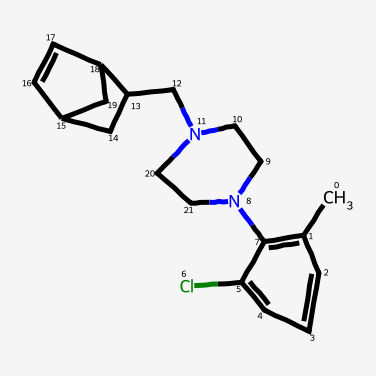 Cc1cccc(Cl)c1N1CCN(CC2CC3C=CC2C3)CC1